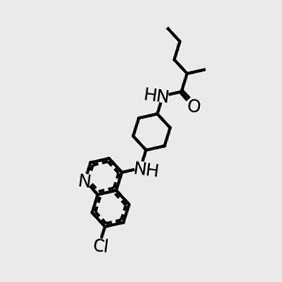 CCCC(C)C(=O)NC1CCC(Nc2ccnc3cc(Cl)ccc23)CC1